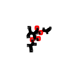 C=CCOC(=O)C(C(=O)OCC=C)C(C)C